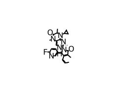 C/C=C\C1=C(C)C(=O)N([C@]2(C)N=C3C(=CN2)N(C)C(=O)C(C)N3C2CC2)C1c1ccc(F)nc1